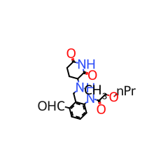 CCCOCC(=O)Nc1cccc(C=O)c1CN(C)C1CCC(=O)NC1=O